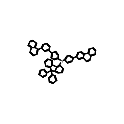 c1ccc(C2(c3ccccc3)c3ccccc3-c3c(N(c4ccc(-c5cccc(-c6cccc7ccccc67)c5)cc4)c4ccc(-c5ccc6c(ccc7ccccc76)c5)cc4)cccc32)cc1